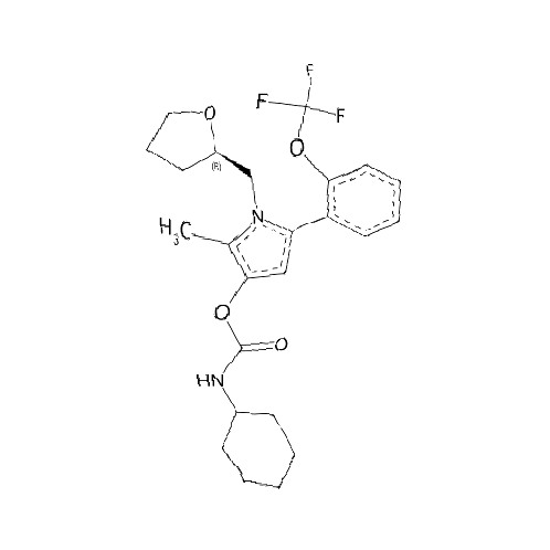 Cc1c(OC(=O)NC2CCCCC2)cc(-c2ccccc2OC(F)(F)F)n1C[C@H]1CCCO1